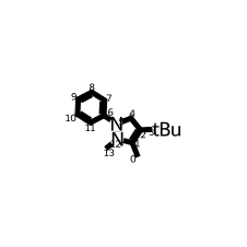 CC1=C(C(C)(C)C)CN(c2ccccc2)N1C